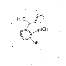 C#Cc1c(CCC)cccc1[C](C)C=C